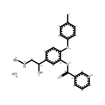 Cc1ccc(Oc2ccc(C(O)CNC(C)(C)C)cc2OC(=O)c2cccnc2)cc1.Cl